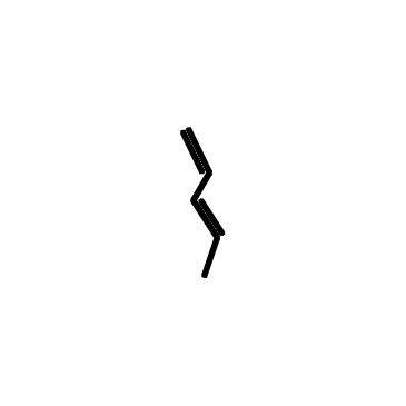 C=CC=CC